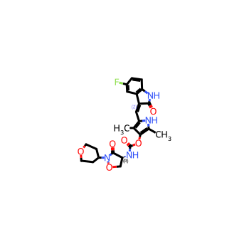 Cc1[nH]c(/C=C2\C(=O)Nc3ccc(F)cc32)c(C)c1OC(=O)N[C@@H]1CON(C2CCOCC2)C1=O